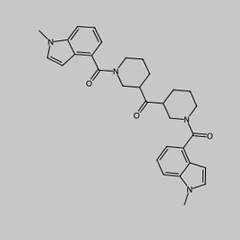 Cn1ccc2c(C(=O)N3CCCC(C(=O)C4CCCN(C(=O)c5cccc6c5ccn6C)C4)C3)cccc21